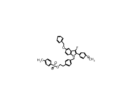 COc1ccc(-c2c(F)c3cc(OCc4ccccc4)ccc3n2Cc2ccc(CCOS(=O)(=O)c3ccc(C)cc3)cc2)cc1